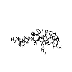 CC(O)C1(SC2CCNC2)C(=O)N2C(C(=O)O)=C(C(=O)NC3CN(C(=N)N)C3)[C@@H](C)[C@H]21